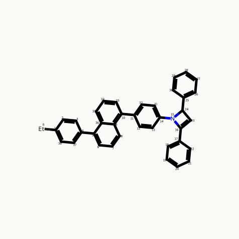 CCc1ccc(-c2cccc3c(-c4ccc(N5C(c6ccccc6)=CC5c5ccccc5)cc4)cccc23)cc1